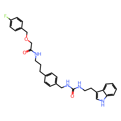 O=C(COCc1ccc(F)cc1)NCCCc1ccc(CNC(=O)NCCc2c[nH]c3ccccc23)cc1